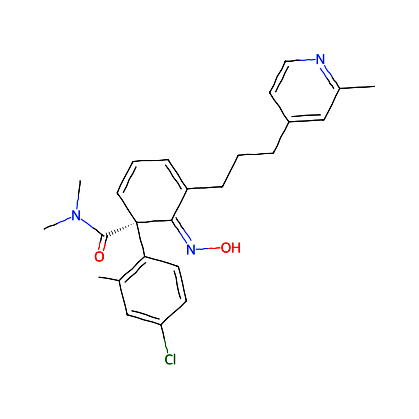 Cc1cc(CCCC2=CC=C[C@](C(=O)N(C)C)(c3ccc(Cl)cc3C)/C2=N/O)ccn1